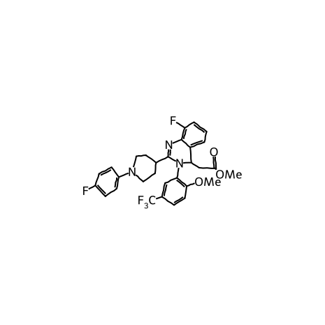 COC(=O)CC1c2cccc(F)c2N=C(C2CCN(c3ccc(F)cc3)CC2)N1c1cc(C(F)(F)F)ccc1OC